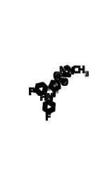 Cn1cnc(S(=O)(=O)N2C[C@@H](CNc3ccc(F)cc3)[C@H](c3ccc(F)cc3)C2)c1